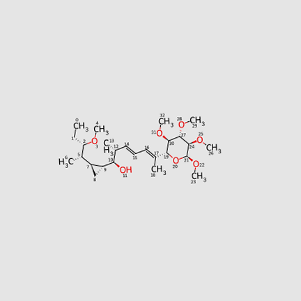 CC[C@H](OC)[C@@H](C)[C@@H]1C[C@H]1[C@H](O)[C@H](C)/C=C/C=C(\C)[C@H]1O[C@H](OC)[C@H](OC)[C@@H](OC)[C@@H]1OC